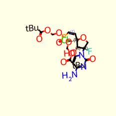 CC(C)(C)C(=O)OCOP(=O)(/C=C\[C@@]1(CCl)OC[C@](F)(n2ccc(N)nc2=O)[C@@H]1O)OCOC(=O)C(C)(C)C